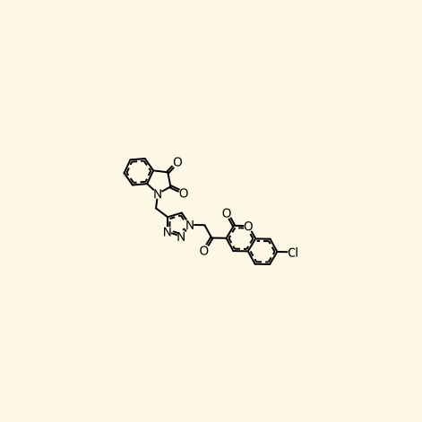 O=C1C(=O)N(Cc2cn(CC(=O)c3cc4ccc(Cl)cc4oc3=O)nn2)c2ccccc21